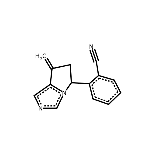 C=C1CC(c2ccccc2C#N)n2cncc21